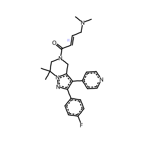 CN(C)C/C=C/C(=O)N1Cc2c(-c3ccncc3)c(-c3ccc(F)cc3)nn2C(C)(C)C1